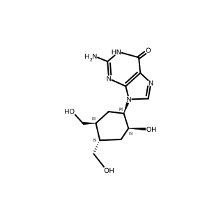 Nc1nc2c(ncn2[C@@H]2C[C@H](CO)[C@@H](CO)C[C@@H]2O)c(=O)[nH]1